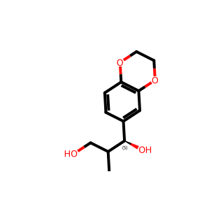 CC(CO)[C@H](O)c1ccc2c(c1)OCCO2